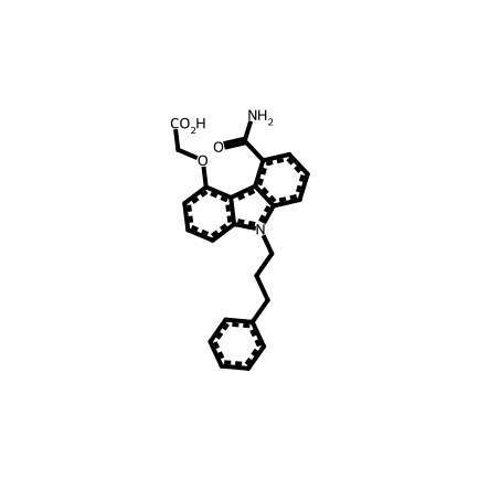 NC(=O)c1cccc2c1c1c(OCC(=O)O)cccc1n2CCCc1ccccc1